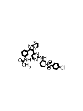 CC(=O)Nc1cccc(-c2nc3sccn3c2-c2ccnc(N[C@@H]3CCCN(S(=O)(=O)c4ccc(Cl)cc4)C3)n2)c1